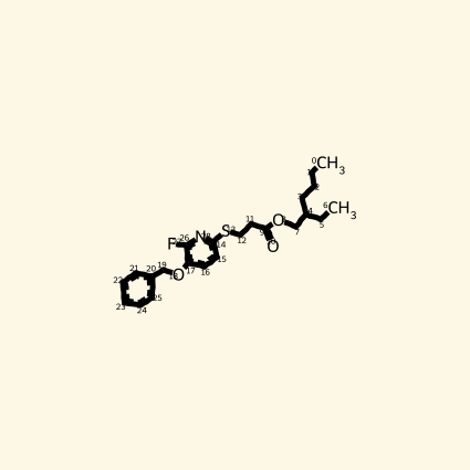 CCCCC(CC)COC(=O)CCSc1ccc(OCc2ccccc2)c(F)n1